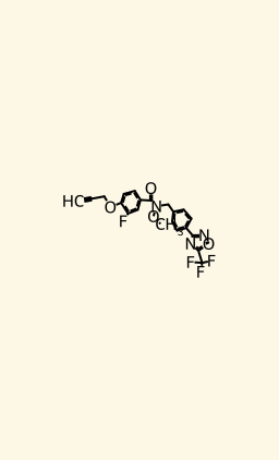 C#CCOc1ccc(C(=O)N(Cc2ccc(-c3noc(C(F)(F)F)n3)cc2)OC)cc1F